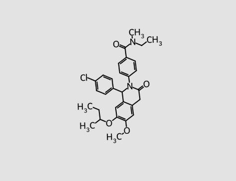 CCC(C)Oc1cc2c(cc1OC)CC(=O)N(c1ccc(C(=O)N(C)CC)cc1)C2c1ccc(Cl)cc1